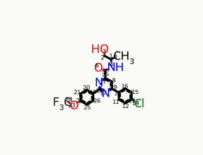 CC(CO)NC(=O)c1cc(-c2ccc(Cl)cc2)nc(-c2ccc(OC(F)(F)F)cc2)n1